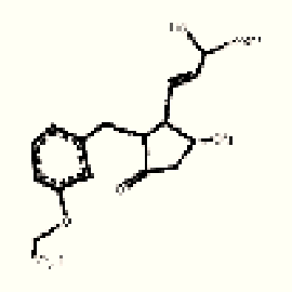 CCCCCC(O)C=CC1C(Cc2cccc(OCC(=O)O)c2)C(=O)C[C@@H]1O